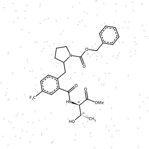 COC(=O)[C@H](NC(=O)c1cc(C(F)(F)F)ccc1CC1CCCN1C(=O)OCc1ccccc1)[C@H](C)O